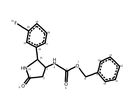 O=C1CC(NC(=O)OCc2ccccc2)C(c2cccc(F)c2)N1